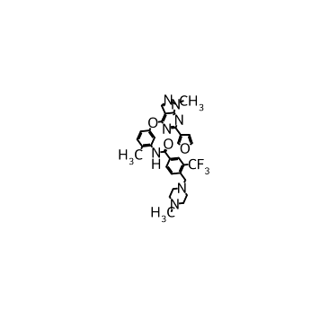 Cc1ccc(Oc2nc(-c3ccoc3)nc3c2cnn3C)cc1NC(=O)c1ccc(CN2CCN(C)CC2)c(C(F)(F)F)c1